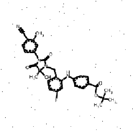 Cc1cc(N2C(=O)N(Cc3ccc(F)cc3Nc3ccc(C(=O)OC(C)(C)C)cc3)C(C)(C)C2=O)ccc1C#N